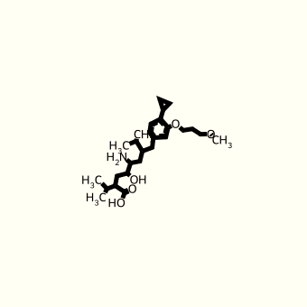 COCCCOc1cc(CC(CC(N)C(O)CC(C(=O)O)C(C)C)C(C)C)ccc1C1CC1